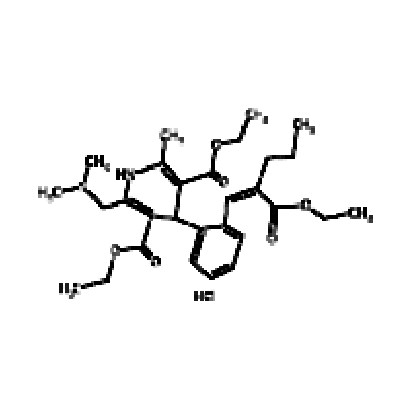 CCCC(=Cc1ccccc1C1C(C(=O)OCC)=C(C)NC(CN(C)C)=C1C(=O)OCC)C(=O)OCC.Cl